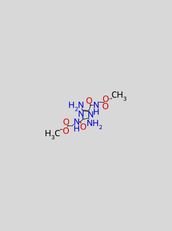 CCOC(=O)CNC(=O)c1nc(N)c(C(=O)NCC(=O)OCC)nc1N